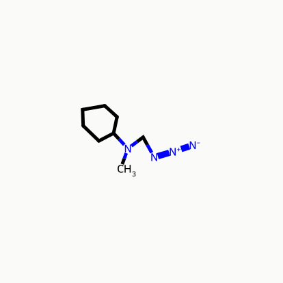 CN(CN=[N+]=[N-])C1CCCCC1